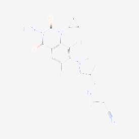 Cc1c(N2CCC(CNC(C)CC#N)C2)c(F)cc2c(=O)n(N)c(=O)n(C3CC3)c12